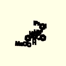 COC(=O)c1cccc(C(=O)N[C@@H](Cc2ccccc2)[C@H](O)CNCc2cncc(C(C)C)c2)c1